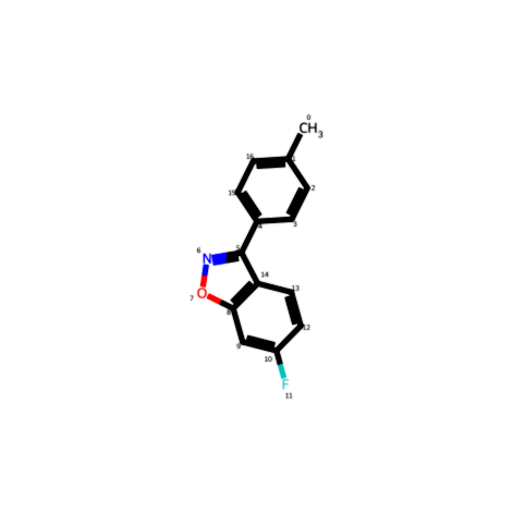 Cc1ccc(-c2noc3cc(F)ccc23)cc1